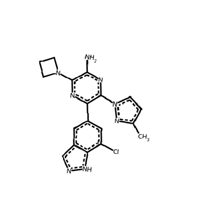 Cc1ccn(-c2nc(N)c(N3CCC3)nc2-c2cc(Cl)c3[nH]ncc3c2)n1